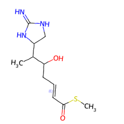 CSC(=O)/C=C/CC(O)C(C)C1CNC(=N)N1